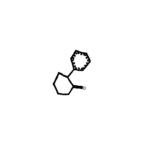 O=C1CCCCC1c1cc[c]cc1